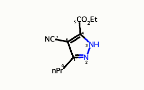 CCCc1n[nH]c(C(=O)OCC)c1C#N